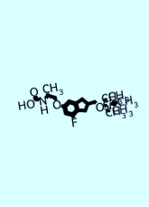 CC(COc1cc(F)c2c(c1)CC(CO[Si](C)(C)C(C)(C)C)C2)NC(=O)O